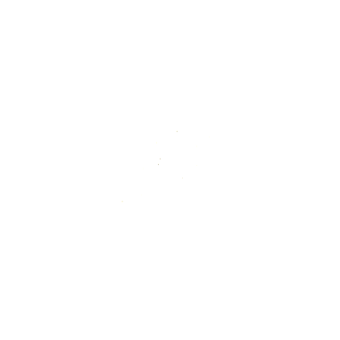 CC1CC=C2CC(F)CCC2(C)C1C